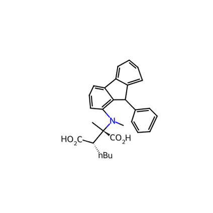 CCCC[C@H](C(=O)O)[C@@](C)(C(=O)O)N(C)c1cccc2c1C(c1ccccc1)c1ccccc1-2